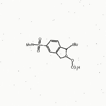 CNS(=O)(=O)c1ccc2c(c1)CN(OC(=O)O)C2C(C)(C)C